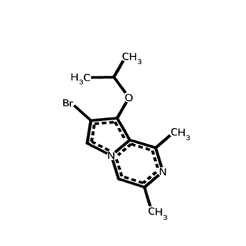 Cc1cn2cc(Br)c(OC(C)C)c2c(C)n1